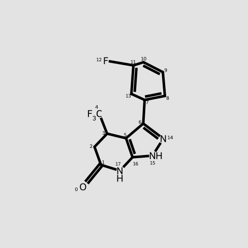 O=C1CC(C(F)(F)F)c2c(-c3cccc(F)c3)n[nH]c2N1